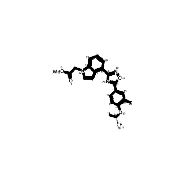 COC(=O)Cn1ccc2c(-c3noc(-c4ccc(O[C@@H](C)C(F)(F)F)c(C)c4)n3)cccc21